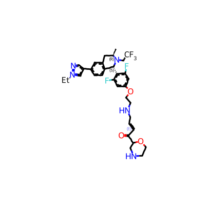 CCn1cc(-c2ccc3c(c2)C[C@@H](C)N(CC(F)(F)F)[C@@H]3c2c(F)cc(OCCNC/C=C/C(=O)C3CNCCO3)cc2F)cn1